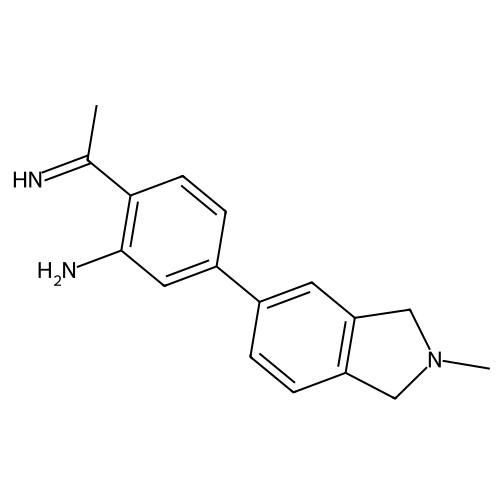 CC(=N)c1ccc(-c2ccc3c(c2)CN(C)C3)cc1N